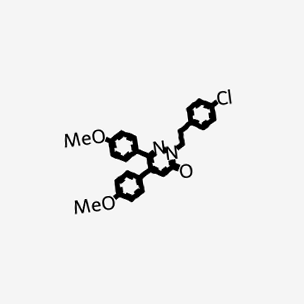 COc1ccc(-c2cc(=O)n(CCc3ccc(Cl)cc3)nc2-c2ccc(OC)cc2)cc1